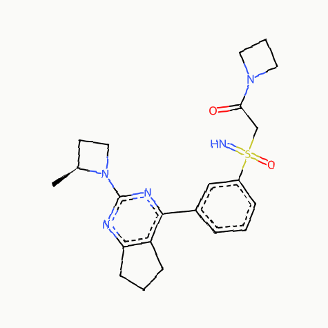 C[C@H]1CCN1c1nc2c(c(-c3cccc(S(=N)(=O)CC(=O)N4CCC4)c3)n1)CCC2